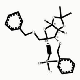 CC[Si](C#C[C@]1(COCc2ccccc2)O[C@@H]2OC(C)(C)O[C@@H]2[C@@H]1OCc1ccccc1)(CC)CC